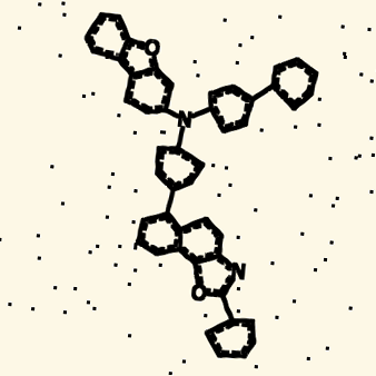 c1ccc(-c2ccc(N(c3ccc(-c4cccc5c4ccc4nc(-c6ccccc6)oc45)cc3)c3ccc4c(c3)oc3ccccc34)cc2)cc1